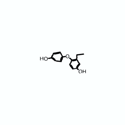 CCc1cc(O)ccc1Oc1ccc(O)cc1